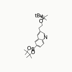 CC1(C)OB(c2ccc3ncc(CCO[Si](C)(C)C(C)(C)C)cc3c2)OC1(C)C